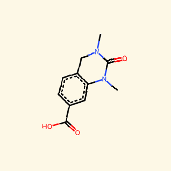 CN1Cc2ccc(C(=O)O)cc2N(C)C1=O